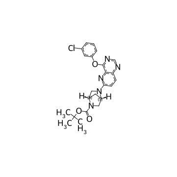 CC(C)(C)OC(=O)N1C[C@@H]2C[C@H]1CN2c1ccc2ncnc(Oc3cccc(Cl)c3)c2n1